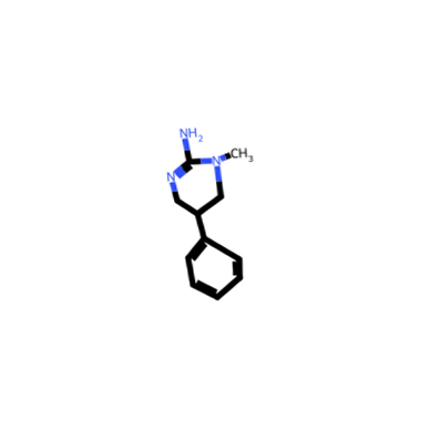 CN1CC(c2ccccc2)CN=C1N